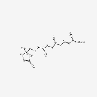 CCCCCC(=O)/C=C/CC(=O)CCC(=O)CCCC1(CC)CCC(=O)O1